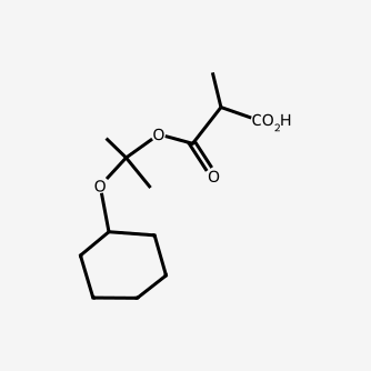 CC(C(=O)O)C(=O)OC(C)(C)OC1CCCCC1